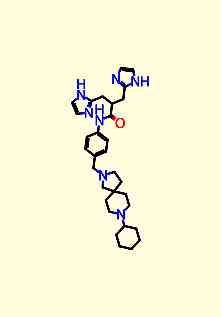 O=C(Nc1ccc(CN2CCC3(CCN(C4CCCCC4)CC3)C2)cc1)C(Cc1ncc[nH]1)Cc1ncc[nH]1